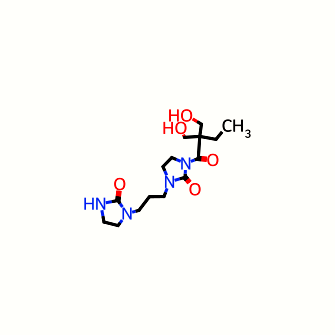 CCC(CO)(CO)C(=O)N1CCN(CCCN2CCNC2=O)C1=O